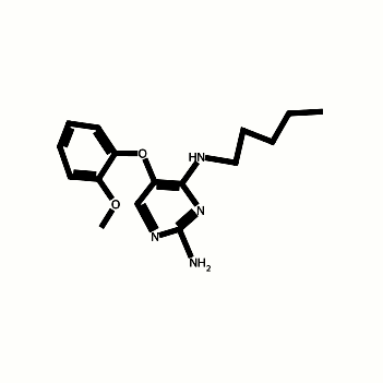 CCCCCNc1nc(N)ncc1Oc1ccccc1OC